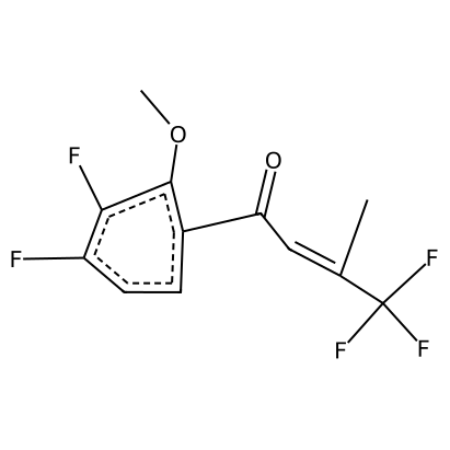 COc1c(C(=O)/C=C(\C)C(F)(F)F)ccc(F)c1F